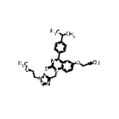 C#CCOc1ccc2c(c1)c(-c1ccc(C(C)C)cc1)nc(=S)n2Cc1nnn(CCOC)n1